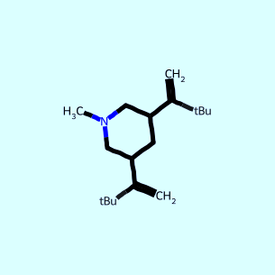 C=C(C1CC(C(=C)C(C)(C)C)CN(C)C1)C(C)(C)C